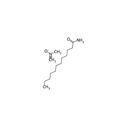 CCCCCCCCCCCC(N)=O.C[NH+](C)[O-]